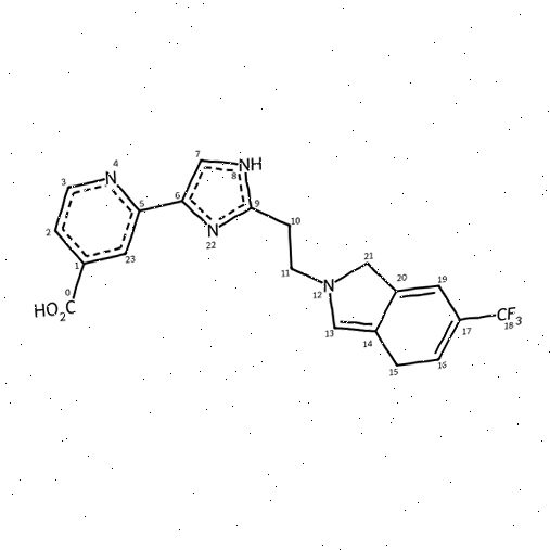 O=C(O)c1ccnc(-c2c[nH]c(CCN3C=C4CC=C(C(F)(F)F)C=C4C3)n2)c1